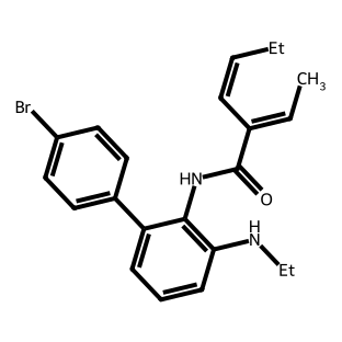 C/C=C(\C=C/CC)C(=O)Nc1c(NCC)cccc1-c1ccc(Br)cc1